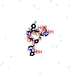 O=C(O)[C@H]1Cc2cc(ccc2OCc2ccnc(-c3ccccc3OO)n2)OC[C@@H](CN2CCN(O)C(CS(=O)(=O)O)C2)Oc2ccc(c(O)c2Cl)-c2c(-c3ccc(F)cc3)sc3ncnc(c23)O1